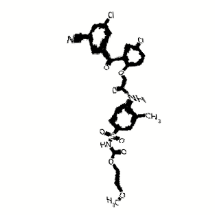 COCCOC(=O)NS(=O)(=O)c1ccc(NC(=O)COc2ccc(Cl)cc2C(=O)c2cc(Cl)cc(C#N)c2)c(C)c1